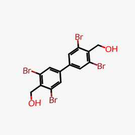 OCc1c(Br)cc(-c2cc(Br)c(CO)c(Br)c2)cc1Br